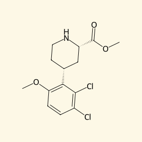 COC(=O)[C@@H]1C[C@H](c2c(OC)ccc(Cl)c2Cl)CCN1